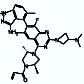 C=CC(=O)N1C[C@H](C)N(c2nc(N3CC(N(C)C)C3)nc3c(F)c(-c4c(C)ccc5[nH]nc(N)c45)c(C)cc23)C[C@H]1C